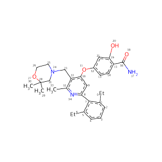 CCc1cccc(CC)c1-c1cc(Oc2ccc(C(N)=O)c(O)c2)c(CN2CCOC(C)(C)C2)c(C)n1